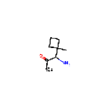 CCCCC(=O)C(N)C1(C)CCC1